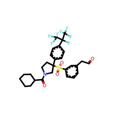 O=CCc1cccc(S(=O)(=O)C2(c3ccc(C(F)(C(F)(F)F)C(F)(F)F)cc3)CCN(C(=O)C3CCCCC3)C2)c1